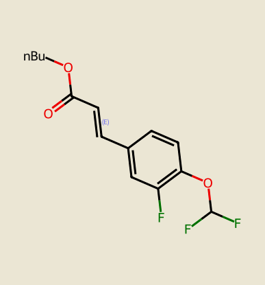 CCCCOC(=O)/C=C/c1ccc(OC(F)F)c(F)c1